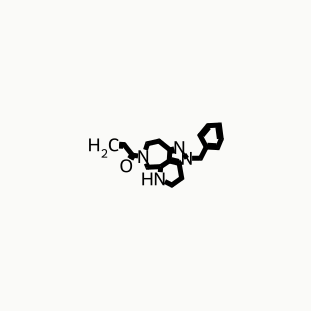 C=CC(=O)N1CCc2nn(Cc3ccccc3)c3c2C(C1)NCC3